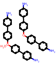 Nc1ccc(-c2ccc(Oc3ccc(-c4ccc(N)cc4)cc3)cc2)cc1.Nc1ccc(-c2ccc(Oc3ccc(-c4ccc(N)cc4)cc3)cc2)cc1.O